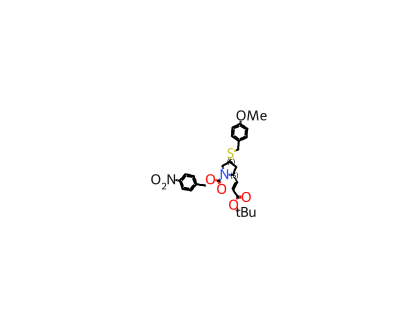 COc1ccc(CS[C@H]2C[C@@H](C=CC(=O)OC(C)(C)C)N(C(=O)OCc3ccc([N+](=O)[O-])cc3)C2)cc1